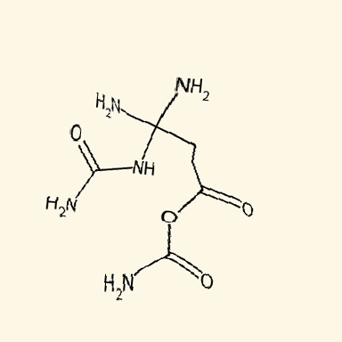 NC(=O)NC(N)(N)CC(=O)OC(N)=O